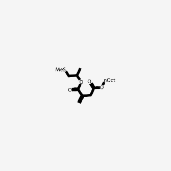 C=C(CC(=O)OCCCCCCCC)C(=O)OC(C)CSC